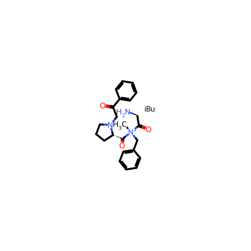 CC[C@H](C)[C@H](N)C(=O)[N+](C)(Cc1ccccc1)C(=O)[C@@H]1CCCN1CC(=O)c1ccccc1